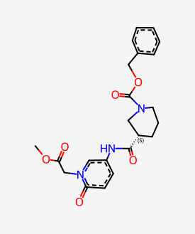 COC(=O)Cn1cc(NC(=O)[C@H]2CCCN(C(=O)OCc3ccccc3)C2)ccc1=O